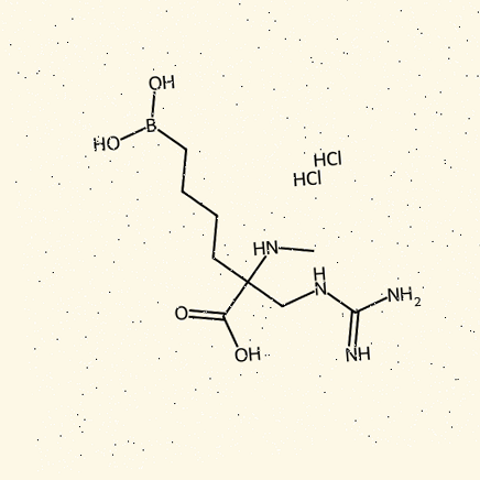 CNC(CCCCB(O)O)(CNC(=N)N)C(=O)O.Cl.Cl